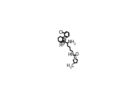 CC1CCN(C(=O)NCCCCC(N)C2=N[C@@]3(c4ccccc4Cl)CCC[C@@H](O2)C3=O)C1